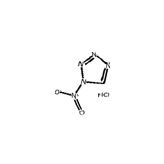 Cl.O=[N+]([O-])n1cnnn1